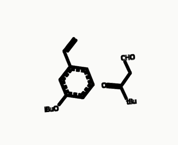 C=Cc1cccc(OCC(C)C)c1.CC(C)(C)C(=O)CC=O